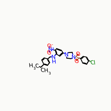 CC(C)c1ccc(CNc2cc(N3CCN(S(=O)(=O)c4ccc(Cl)cc4)CC3)ccc2[N+](=O)[O-])cc1